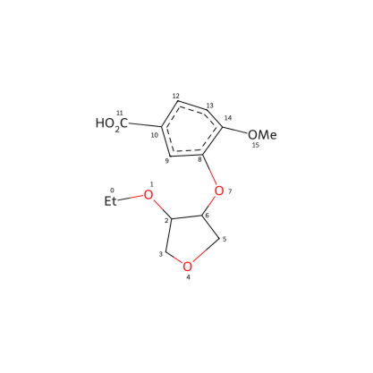 CCOC1COCC1Oc1cc(C(=O)O)ccc1OC